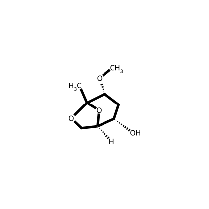 CO[C@@H]1C[C@H](O)[C@H]2COC1(C)O2